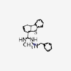 CNC(N/C=N\Cc1ccccc1)C1=C2Sc3ccccc3C2CC=C1